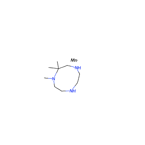 CN1CCNCCNCC1(C)C.[Mn]